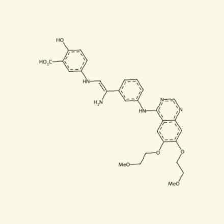 COCCOc1cc2ncnc(Nc3cccc(/C(N)=C/Nc4ccc(O)c(C(=O)O)c4)c3)c2cc1OCCOC